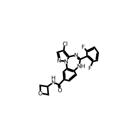 O=C(NC1COC1)c1ccc2c(c1)-n1ncc(Cl)c1N=C(c1c(F)cccc1F)N2